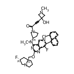 CN1CC(O)(C#CC(=O)N2CC[C@@H](N(C)c3nc(OC[C@@]45CCCN4C[C@H](F)C5)nc4c(F)c(-c5cccc6cccc(Cl)c56)ncc34)C2)C1